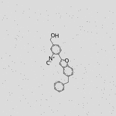 [C-]#[N+]c1cc(CO)ccc1-c1cc2cc(Cc3ccccc3)ccc2o1